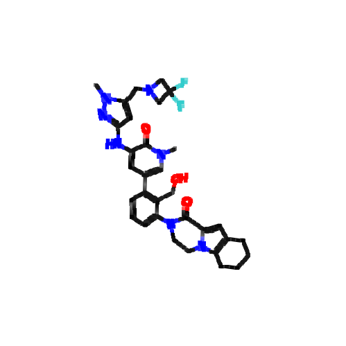 Cn1nc(Nc2cc(-c3cccc(N4CCn5c(cc6c5CCCC6)C4=O)c3CO)cn(C)c2=O)cc1CN1CC(F)(F)C1